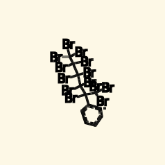 BrC(Br)(Br)C(Br)(Br)C(Br)(Br)C(Br)(Br)C(Br)(c1[c]cccc1)C(Br)(Br)Br